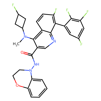 CN(c1c(C(=O)NN2CCOc3ccccc32)cnc2c(-c3cc(F)cc(F)c3F)c(F)ccc12)C1CC(F)C1